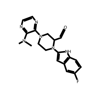 CN(C)c1nccnc1N1CCN(c2cc3cc(F)ccc3[nH]2)C(C=O)C1